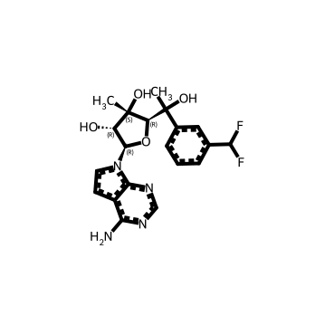 CC(O)(c1cccc(C(F)F)c1)[C@H]1O[C@@H](n2ccc3c(N)ncnc32)[C@H](O)[C@]1(C)O